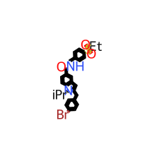 CCS(=O)(=O)c1ccc(CNC(=O)c2ccc3c(c2)cc(Cc2ccc(Br)cc2)n3C(C)C)cc1